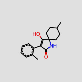 Cc1ccccc1C1=C(O)C2(CCC(C)CC2)NC1=O